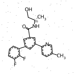 Cc1ccc(-c2cc(C(=O)N[C@@H](C)CO)cc(-c3cccc(F)c3F)c2)nc1